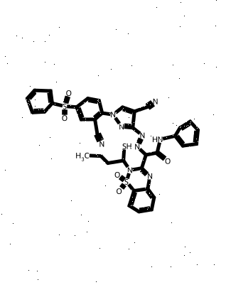 CCCC(S)N1C(C(N=Nc2nn(-c3ccc(S(=O)(=O)c4ccccc4)cc3C#N)cc2C#N)C(=O)Nc2ccccc2)=Nc2ccccc2S1(=O)=O